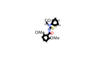 COc1cccc(OC)c1C(=O)/N=c1\sc2ccccc2n1CC(=O)O